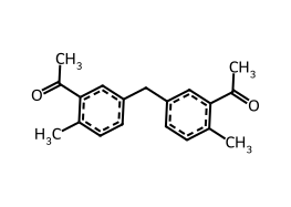 CC(=O)c1cc(Cc2ccc(C)c(C(C)=O)c2)ccc1C